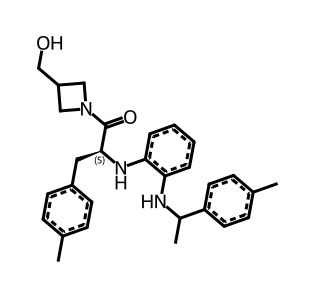 Cc1ccc(C[C@H](Nc2ccccc2NC(C)c2ccc(C)cc2)C(=O)N2CC(CO)C2)cc1